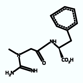 CN(CC(=O)N[C@@H](Cc1ccccc1)C(=O)O)C(=N)N